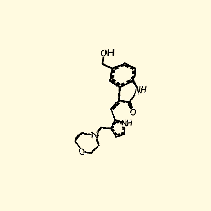 O=C1Nc2ccc(CO)cc2/C1=C/c1[nH]ccc1CN1CCOCC1